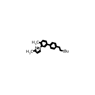 Cc1ccn(-c2cc(-c3ccc(CCC(C)(C)C)cc3)ccc2C)n1